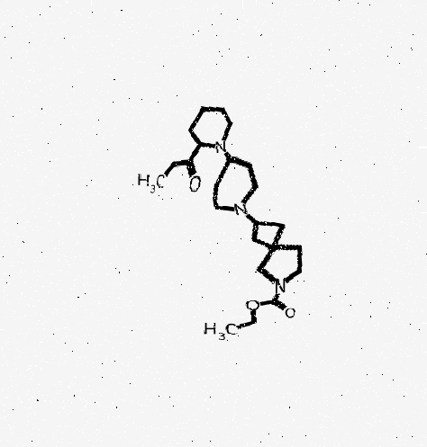 CCOC(=O)N1CCC2(CC(N3CCC(N4CCCCC4C(=O)CC)CC3)C2)C1